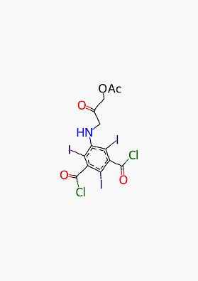 CC(=O)OCC(=O)CNc1c(I)c(C(=O)Cl)c(I)c(C(=O)Cl)c1I